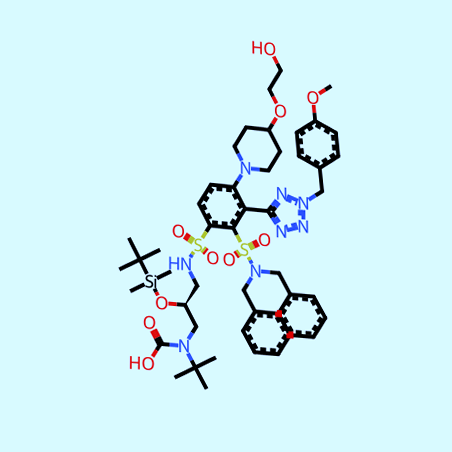 COc1ccc(Cn2nnc(-c3c(N4CCC(OCCO)CC4)ccc(S(=O)(=O)NC[C@@H](CN(C(=O)O)C(C)(C)C)O[Si](C)(C)C(C)(C)C)c3S(=O)(=O)N(Cc3ccccc3)Cc3ccccc3)n2)cc1